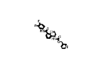 O=C(N[C@H]1CCOc2c(C(=O)Nc3ccc(F)c(F)c3)cccc21)OCc1cccnc1